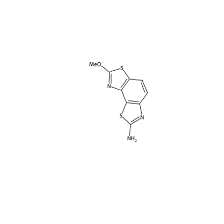 COc1nc2c(ccc3nc(N)sc32)s1